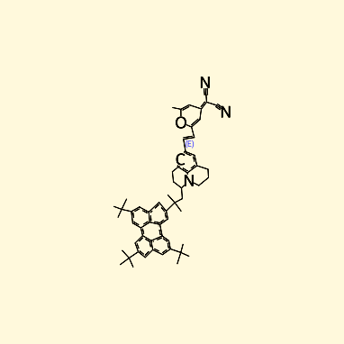 CC1=CC(=C(C#N)C#N)C=C(/C=C/c2cc3c4c(c2)CCC(CC(C)(C)c2cc5cc(C(C)(C)C)cc6c7cc(C(C)(C)C)cc8cc(C(C)(C)C)cc(c(c2)c56)c87)N4CCC3)O1